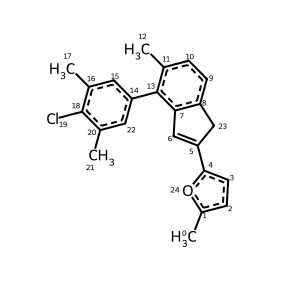 Cc1ccc(C2=Cc3c(ccc(C)c3-c3cc(C)c(Cl)c(C)c3)C2)o1